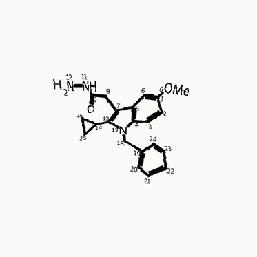 COc1ccc2c(c1)c(CC(=O)NN)c(C1CC1)n2Cc1ccccc1